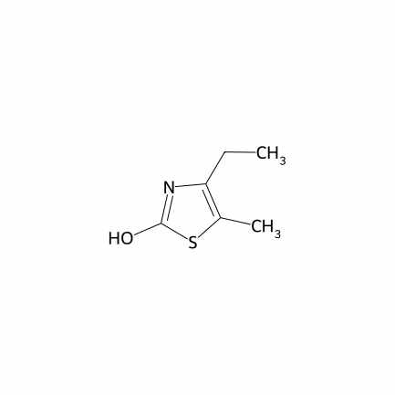 CCc1nc(O)sc1C